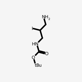 CC(C)(C)OC(=O)NCC(I)CN